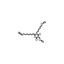 N#COCCCCCCn1c(=O)n(COC#N)c(=O)o/c1=N\CCCCCCN=C=O